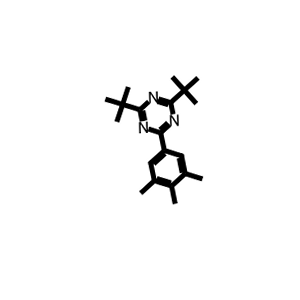 Cc1cc(-c2nc(C(C)(C)C)nc(C(C)(C)C)n2)cc(C)c1C